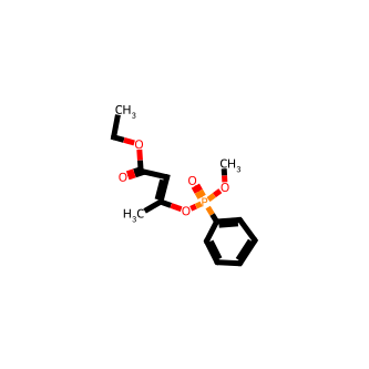 CCOC(=O)C=C(C)OP(=O)(OC)c1ccccc1